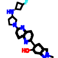 Cn1cc2cc(-c3ccc4nc(N5CCC(N[C@H]6C[C@H](F)C6)C5)ccc4n3)c(O)cc2n1